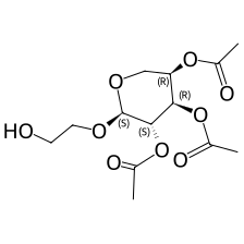 CC(=O)O[C@@H]1[C@@H](OCCO)OC[C@@H](OC(C)=O)[C@H]1OC(C)=O